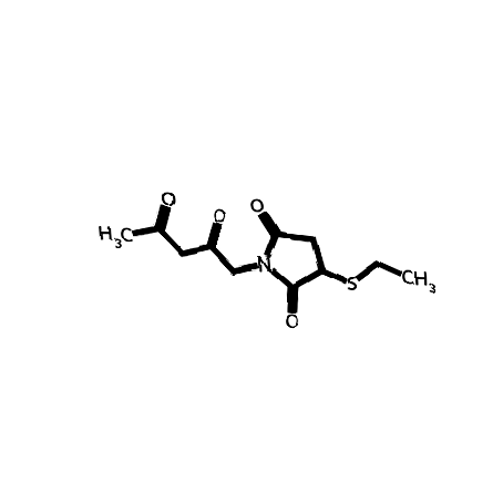 CCSC1CC(=O)N(CC(=O)CC(C)=O)C1=O